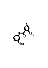 Cn1cc(C(=O)Nc2cccc(C(C)(C)C)c2)c(C(F)(F)F)n1